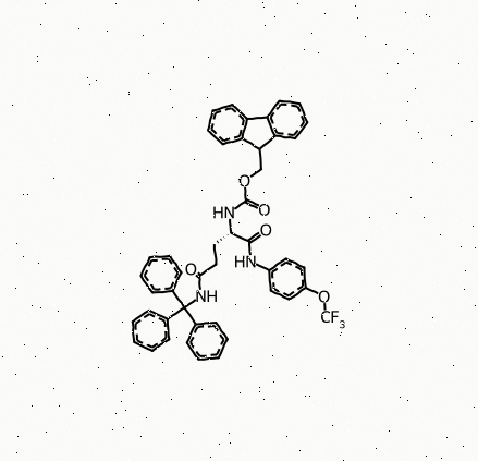 O=C(CC[C@H](NC(=O)OCC1c2ccccc2-c2ccccc21)C(=O)Nc1ccc(OC(F)(F)F)cc1)NC(c1ccccc1)(c1ccccc1)c1ccccc1